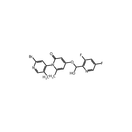 Cc1cnc(Br)cc1-n1c(C)cc(OC(O)c2ncc(F)cc2F)cc1=O